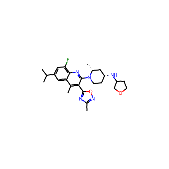 Cc1noc(-c2c(N3CC[C@@H](NC4CCOC4)C[C@H]3C)nc3c(F)cc(C(C)C)cc3c2C)n1